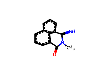 CN1C(=N)c2cccc3cccc(c23)C1=O